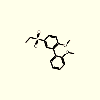 CCS(=O)(=O)c1ccc(OC)c(-c2ccccc2OC)c1